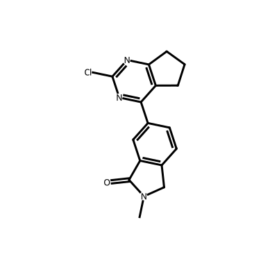 CN1Cc2ccc(-c3nc(Cl)nc4c3CCC4)cc2C1=O